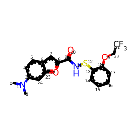 CN(C)c1ccc2cc(C(=O)NSc3ccccc3OCC(F)(F)F)oc2c1